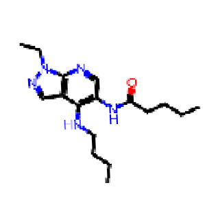 CCCCNc1c(NC(=O)CCCC)cnc2c1cnn2CC